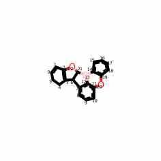 C1=CC2=C(CC1)C1c3cccc4c3B(c3ccccc3O4)C1O2